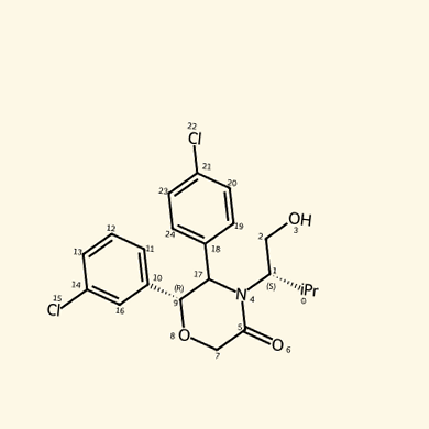 CC(C)[C@@H](CO)N1C(=O)CO[C@H](c2cccc(Cl)c2)C1c1ccc(Cl)cc1